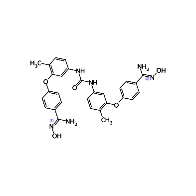 Cc1ccc(NC(=O)Nc2ccc(C)c(Oc3ccc(/C(N)=N/O)cc3)c2)cc1Oc1ccc(/C(N)=N/O)cc1